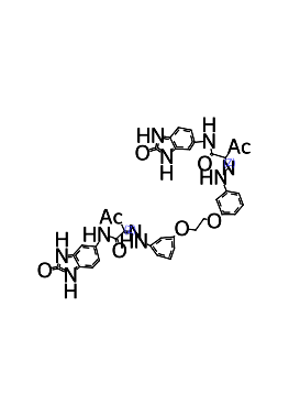 CC(=O)/C(=N/Nc1cccc(OCCOc2cccc(N/N=C(/C(C)=O)C(=O)Nc3ccc4[nH]c(=O)[nH]c4c3)c2)c1)C(=O)Nc1ccc2[nH]c(=O)[nH]c2c1